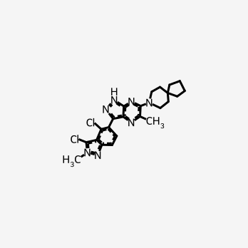 Cc1nc2c(-c3ccc4nn(C)c(Cl)c4c3Cl)n[nH]c2nc1N1CCC2(CCCC2)CC1